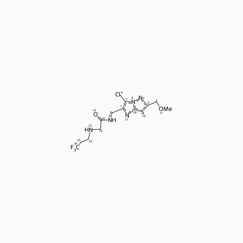 COCc1nn2c(Cl)c(CNC(=O)CNCCC(F)(F)F)nc2s1